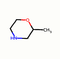 CC1[CH]NCCO1